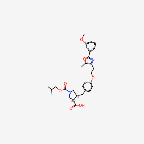 COc1cccc(-c2nc(CCOc3ccc(C[C@@H]4CN(C(=O)OCC(C)C)C[C@@H]4C(=O)O)cc3)c(C)o2)c1